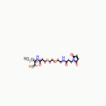 O=C(CCN1C(=O)C=CC1=O)NCCOCCOCCC(=O)N[C@@H](CS)C(=O)O